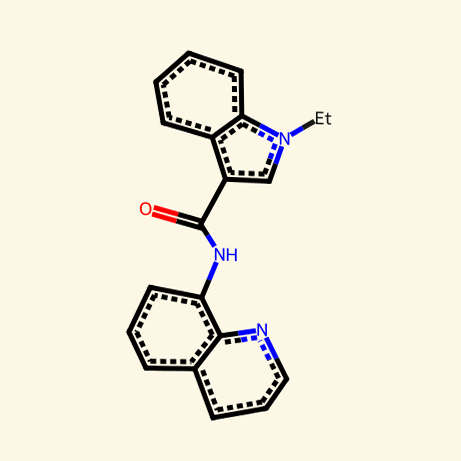 CCn1cc(C(=O)Nc2cccc3cccnc23)c2ccccc21